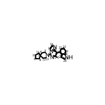 Cc1nc(N2CCC3(CCCC3)CC2)n2ccnc2c1-c1cccc2[nH]ccc12